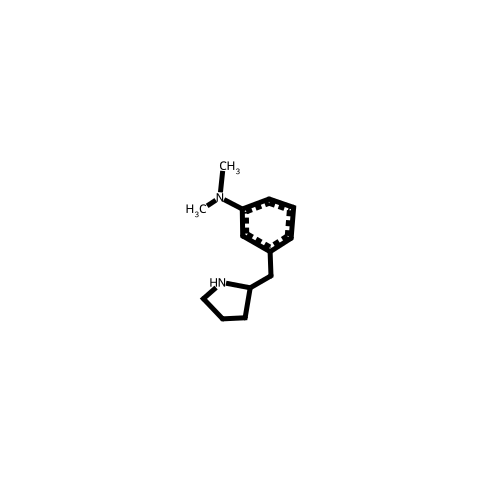 CN(C)c1cccc(CC2CCCN2)c1